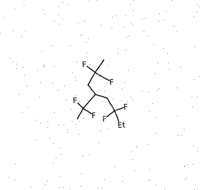 CCC(F)(F)CC(CC(C)(F)F)C(C)(F)F